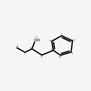 CCC(O)Cc1cc[c]cc1